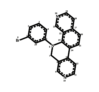 Brc1cccc(N2Cc3cnccc3-c3ccc4ccncc4c32)c1